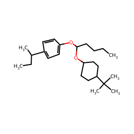 CCCCC(Oc1ccc(C(C)CC)cc1)OC1CCC(C(C)(C)C)CC1